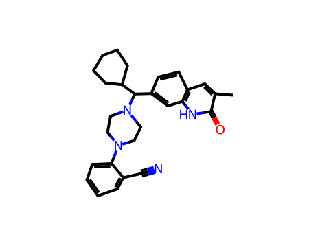 Cc1cc2ccc(C(C3CCCCC3)N3CCN(c4ccccc4C#N)CC3)cc2[nH]c1=O